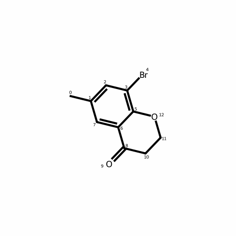 Cc1cc(Br)c2c(c1)C(=O)CCO2